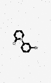 O=c1ccccn1-c1cccc(Br)c1